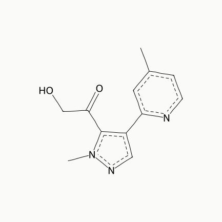 Cc1ccnc(-c2cnn(C)c2C(=O)CO)c1